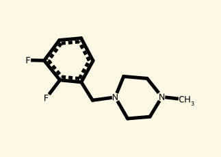 CN1CCN(Cc2cccc(F)c2F)CC1